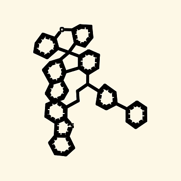 c1ccc(-c2ccc(C(CCc3cccc4c3sc3ccccc34)c3cccc4c3-c3c(ccc5ccccc35)C43c4ccccc4Oc4ccccc43)cc2)cc1